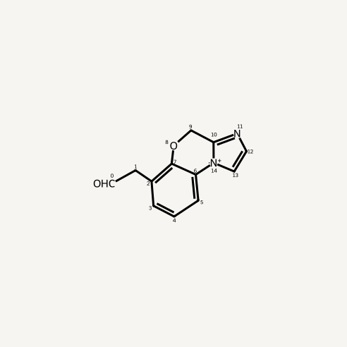 O=CCc1cccc2c1OCC1=NC=C[N+]12